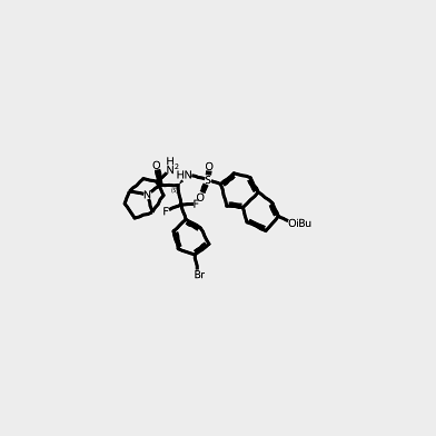 CC(C)COc1ccc2cc(S(=O)(=O)N[C@@H](C(=O)N3C4CCC3CC(N)C4)C(F)(F)c3ccc(Br)cc3)ccc2c1